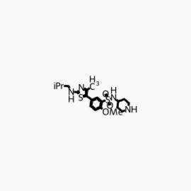 COc1ccc(-c2sc(NCC(C)C)nc2C)cc1S(=O)(=O)NC1CCNCC1